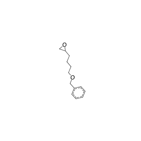 c1ccc(COCCCCC2CO2)cc1